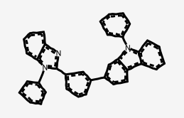 c1ccc(-n2c(-c3cccc(-c4ccc5c6ccccc6n(-c6ccccc6)c5c4)c3)nc3ccccc32)cc1